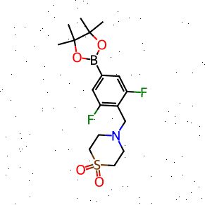 CC1(C)OB(c2cc(F)c(CN3CCS(=O)(=O)CC3)c(F)c2)OC1(C)C